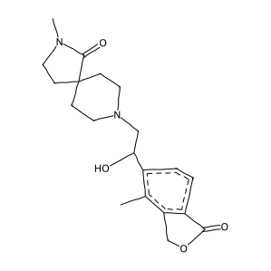 Cc1c(C(O)CN2CCC3(CC2)CCN(C)C3=O)ccc2c1COC2=O